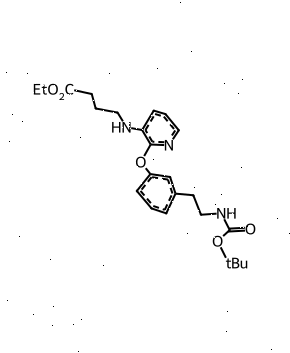 CCOC(=O)CCCNc1cccnc1Oc1cccc(CCNC(=O)OC(C)(C)C)c1